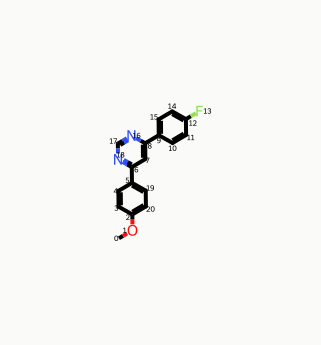 COc1ccc(-c2cc(-c3ccc(F)cc3)ncn2)cc1